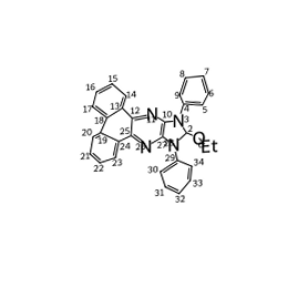 CCOC1N(c2ccccc2)c2nc3c4ccccc4c4ccccc4c3nc2N1c1ccccc1